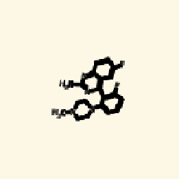 CN1CCN(c2cccc(F)c2-c2nc(N)nc3ccc(F)cc23)CC1